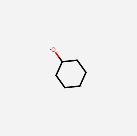 [O]C1CC[CH]CC1